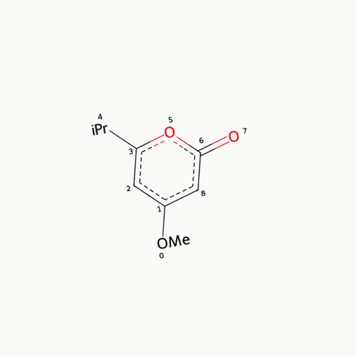 COc1cc(C(C)C)oc(=O)c1